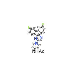 CC(=O)NC1CCN(c2cnc(-c3ccc(F)cc3)c(-c3ccc(F)cc3)n2)CC1